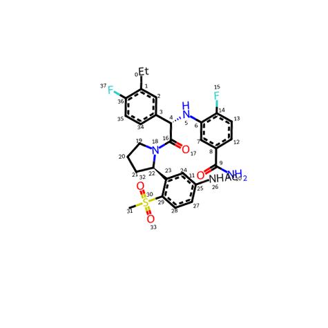 CCc1cc([C@H](Nc2cc(C(N)=O)ccc2F)C(=O)N2CCC[C@@H]2c2cc(NC(C)=O)ccc2S(C)(=O)=O)ccc1F